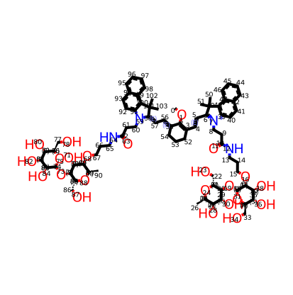 COC1=C(/C=C/C2=[N+](CCC(=O)NCCCO[C@H]3[C@@H](OC4[C@@H](CO)O[C@H](C)[C@H](O)[C@H]4O)O[C@H](CO)[C@@H](O)[C@@H]3O)c3ccc4ccccc4c3C2(C)C)CCC/C1=C\C=C1\N(CCC(=O)NCCCO[C@@H]2[C@@H](O)[C@H](OC3O[C@H](CO)[C@@H](O)[C@H](O)[C@H]3O)[C@@H](CO)O[C@@H]2C)c2ccc3ccccc3c2C1(C)C